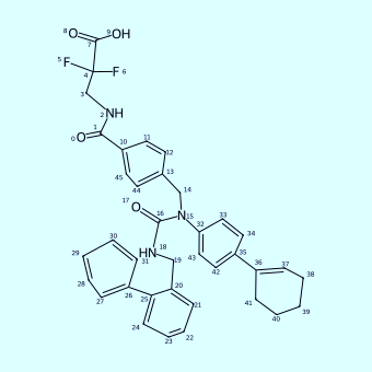 O=C(NCC(F)(F)C(=O)O)c1ccc(CN(C(=O)NCc2ccccc2-c2ccccc2)c2ccc(C3=CCCCC3)cc2)cc1